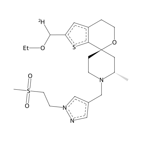 [2H]C(OCC)c1cc2c(s1)[C@]1(CCN(Cc3cnn(CCS(C)(=O)=O)c3)[C@@H](C)C1)OCC2